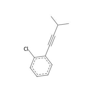 CC(C)C#Cc1ccccc1Cl